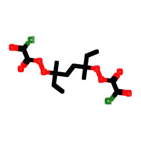 CCC(C)(CCC(C)(CC)OOC(=O)C(=O)Cl)OOC(=O)C(=O)Cl